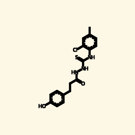 Cc1ccc(NC(=S)NNC(=O)CCc2ccc(O)cc2)c(Cl)c1